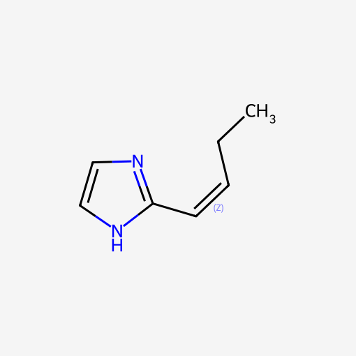 CC/C=C\c1ncc[nH]1